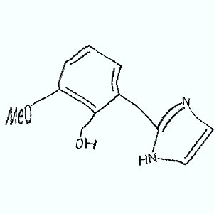 COc1cccc(-c2ncc[nH]2)c1O